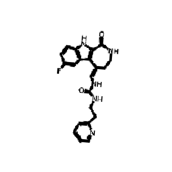 O=C(NC=C1CCNC(=O)c2[nH]c3ccc(F)cc3c21)NCCc1ccccn1